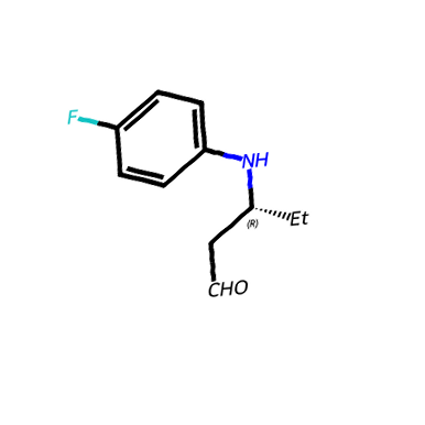 CC[C@H](CC=O)Nc1ccc(F)cc1